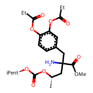 CCC[C@H](C)OC(=O)O[C@@H](C)CC(N)(Cc1ccc(OC(=O)CC)c(OC(=O)CC)c1)C(=O)OC